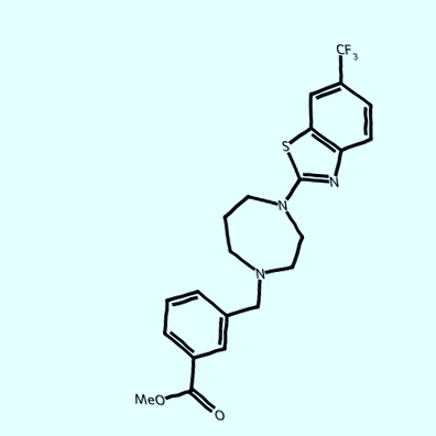 COC(=O)c1cccc(CN2CCCN(c3nc4ccc(C(F)(F)F)cc4s3)CC2)c1